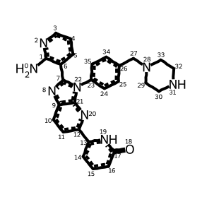 Nc1ncccc1-c1nc2ccc(-c3cccc(=O)[nH]3)nc2n1-c1ccc(CN2CCNCC2)cc1